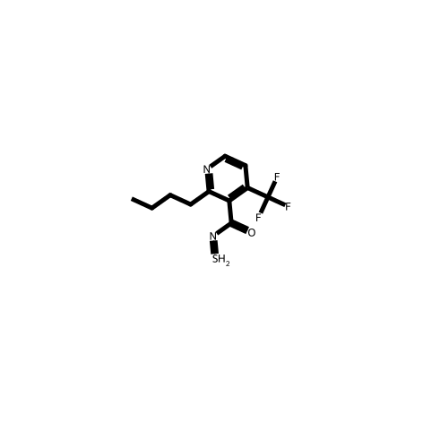 CCCCc1nccc(C(F)(F)F)c1C(=O)N=[SH2]